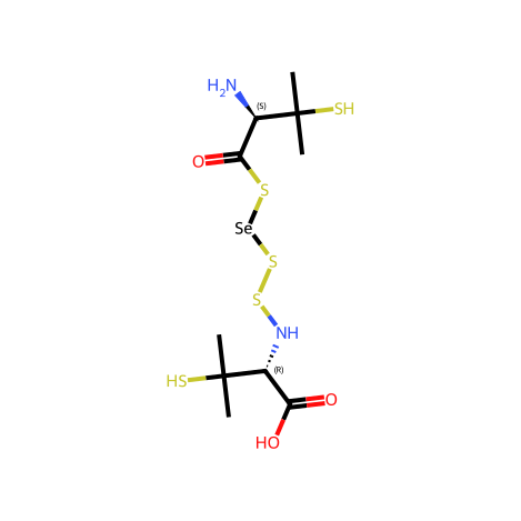 CC(C)(S)[C@H](N)C(=O)S[Se]SSN[C@H](C(=O)O)C(C)(C)S